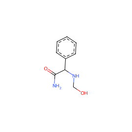 NC(=O)C(NCO)c1ccccc1